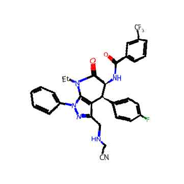 CCN1C(=O)[C@@H](NC(=O)c2cccc(C(F)(F)F)c2)[C@@H](c2ccc(F)cc2)c2c(CNCC#N)nn(-c3ccccc3)c21